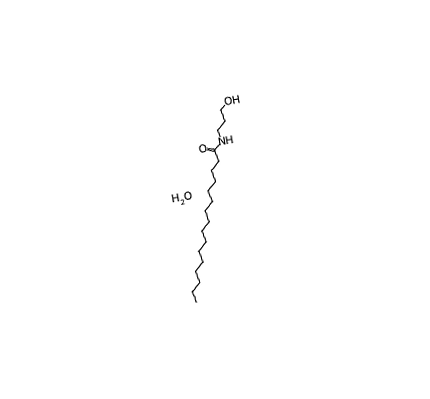 CCCCCCCCCCCCCCCC(=O)NCCCO.O